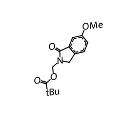 COc1ccc2c(c1)C(=O)N(COC(=O)C(C)(C)C)C2